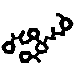 CCc1cccc(NC(=O)NCC(=O)N(CC(=O)N(C)c2ccccc2)c2ccccc2OCC(=O)N(C)c2ccccc2)c1